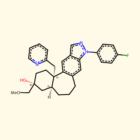 COC[C@@]1(O)CC[C@@]2(Cc3ccccn3)c3cc4cnn(-c5ccc(F)cc5)c4cc3CCC[C@H]2C1